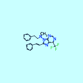 CN(CCc1ccccc1)n1c(C=Cc2ccccc2)nc2c(C(F)(F)F)ncnc21